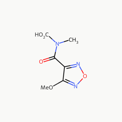 COc1nonc1C(=O)N(C)C(=O)O